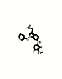 CNCc1cn(Sc2cccnc2)c2cc(Nc3ccc(F)c(OC)c3F)ccc12